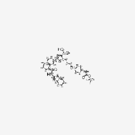 CC(C)(C)OC(=O)Nc1ccc(OCCCc2sc(-c3ccc4c(c3)N(C(=O)Nc3nc5ccccc5s3)CCC4)nc2C(=O)O)cc1